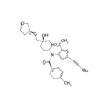 CC1=CC[C@H](C(=O)N(c2cc(C#CC(C)(C)C)sc2C(=O)O)[C@H]2CC[C@@](O)(CO[C@H]3CCOC3)CC2)CC1.O